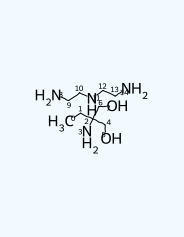 CCC(N)(CO)CO.NCCNCCN